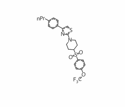 CCCc1ccc(-c2csc(N3CCC(S(=O)(=O)c4ccc(OC(F)(F)F)cc4)CC3)n2)cc1